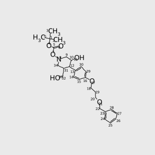 CC(C)(C)OC(=O)ON1CC(O)C(c2ccc(OCCCOCc3ccccc3)cc2)C(CO)C1